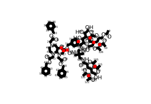 CC(=O)OCC(O)C(OC(C)=O)C(O)C(CONCC(CNOCCCC1CN(CC(=O)OCc2ccccc2)CCN(CC(=O)OCc2ccccc2)C1N(CC(=O)OCc1ccccc1)CC(=O)OCc1ccccc1)(CNC(=O)C(OC(C)=O)C(O)C(OC(C)=O)C(O)CO)CNC(=O)C(OC(C)=O)C(OC(C)=O)C(OC(C)=O)C(CO)OC(C)=O)OC(C)=O